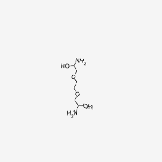 NC(O)COCCOCC(N)O